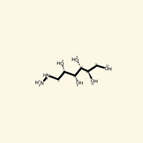 NNC[C@H](O)[C@@H](O)[C@H](O)[C@H](O)CO